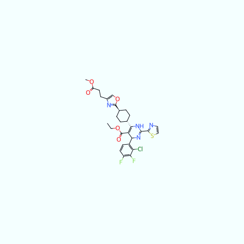 CCOC(=O)C1=C([C@H]2CC[C@H](c3nc(CCC(=O)OC)co3)CC2)NC(c2nccs2)=NC1c1ccc(F)c(F)c1Cl